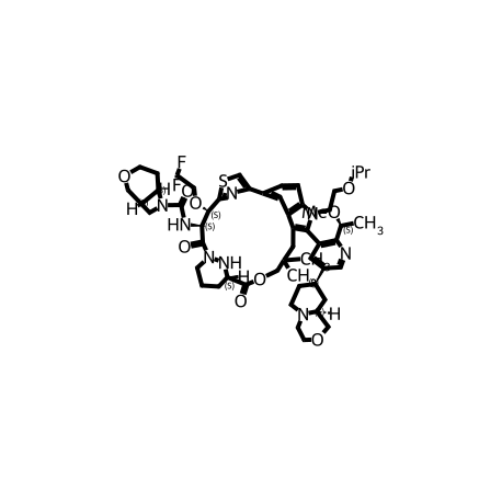 CO[C@@H](C)c1ncc([C@@H]2CCN3CCOC[C@@H]3C2)cc1-c1c2c3cc(ccc3n1CCOC(C)C)-c1csc(n1)[C@@H](OCC(F)F)[C@H](NC(=O)N1C[C@@H]3COCC[C@@H]31)C(=O)N1CCC[C@H](N1)C(=O)OCC(C)(C)C2